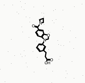 O=C(O)CCc1cccc(N2COc3cc(C(=O)N4CCC4)ccc32)c1